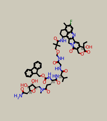 CC[C@@]1(O)C(=O)OCc2c1cc1n(c2=O)Cc2c-1nc1cc(F)c(C)c3c1c2[C@@H](NC(=O)C(C)(C)COCNC(=O)CNC(=O)[C@@H](NC(=O)[C@H](CCC(=O)N(C)C[C@H]1O[C@@H](CC(N)=O)[C@H](O)[C@@H]1O)NC(=O)OCC1c2ccccc2-c2ccccc21)C(C)C)CC3